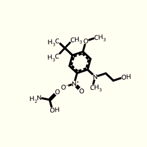 COc1cc(N(C)CCO)c([N+](=O)[O-])cc1C(C)(C)C.NC(=O)O